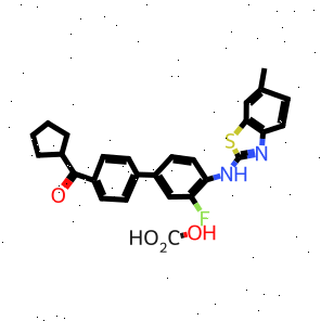 Cc1ccc2nc(Nc3ccc(-c4ccc(C(=O)C5CCCC5)cc4)cc3F)sc2c1.O=C(O)O